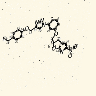 C[C@]1(COc2cccc(-n3cc(COc4ccc(CF)cc4)nn3)c2)Cn2cc([N+](=O)[O-])nc2O1